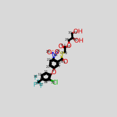 O=C(CSC(=O)c1cc(Oc2ccc(C(F)(F)F)cc2Cl)ccc1[N+](=O)[O-])OCC(O)CO